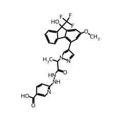 COc1cc(-c2cnn(C(C)C(=O)NNc3ccc(C(=O)O)cn3)c2)c2c(c1)C(O)(C(F)(F)F)c1ccccc1-2